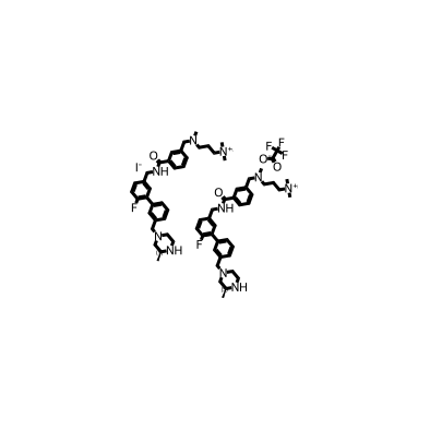 C[C@H]1CN(Cc2cccc(-c3cc(CNC(=O)c4cccc(CN(C)CCC[N+](C)(C)C)c4)ccc3F)c2)CCN1.C[C@H]1CN(Cc2cccc(-c3cc(CNC(=O)c4cccc(CN(C)CCC[N+](C)(C)C)c4)ccc3F)c2)CCN1.O=C([O-])C(F)(F)F.[I-]